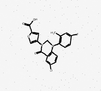 Cc1cc(F)ccc1N1CN(c2coc(C(=O)O)c2)C(=O)c2cc(Cl)ccc21